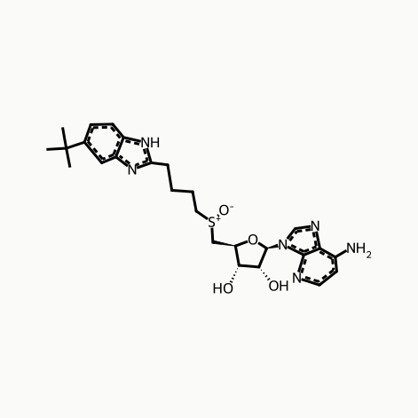 CC(C)(C)c1ccc2[nH]c(CCCC[S+]([O-])C[C@H]3O[C@@H](n4cnc5c(N)ccnc54)[C@H](O)[C@@H]3O)nc2c1